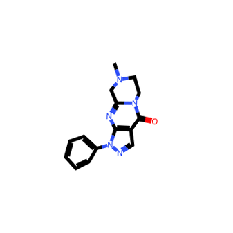 CN1CCn2c(nc3c(cnn3-c3ccccc3)c2=O)C1